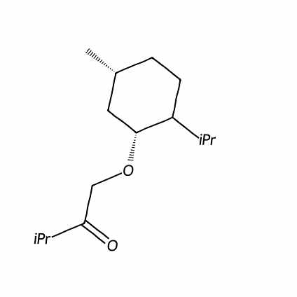 CC(C)C(=O)CO[C@@H]1C[C@H](C)CCC1C(C)C